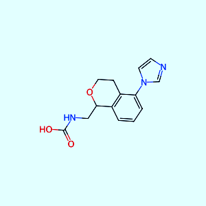 O=C(O)NCC1OCCc2c1cccc2-n1ccnc1